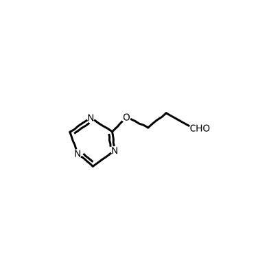 O=CCCOc1ncncn1